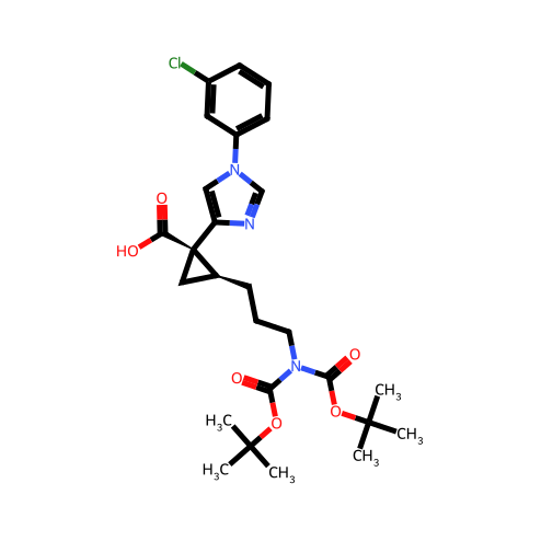 CC(C)(C)OC(=O)N(CCC[C@H]1C[C@]1(C(=O)O)c1cn(-c2cccc(Cl)c2)cn1)C(=O)OC(C)(C)C